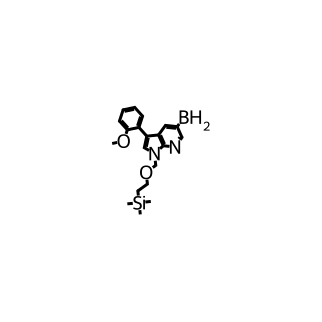 Bc1cnc2c(c1)c(-c1ccccc1OC)cn2COCC[Si](C)(C)C